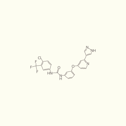 O=C(Nc1cccc(Oc2ccnc(-c3cn[nH]c3)c2)c1)Nc1ccc(Cl)c(C(F)(F)F)c1